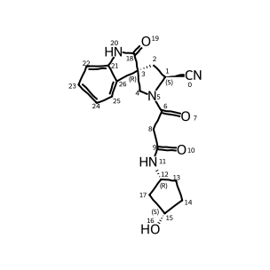 N#C[C@@H]1C[C@@]2(CN1C(=O)CC(=O)N[C@@H]1CC[C@H](O)C1)C(=O)Nc1ccccc12